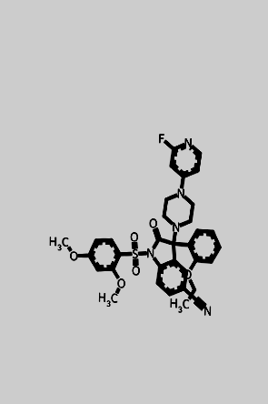 CCOc1ccccc1C1(N2CCN(c3ccnc(F)c3)CC2)C(=O)N(S(=O)(=O)c2ccc(OC)cc2OC)c2ccc(C#N)cc21